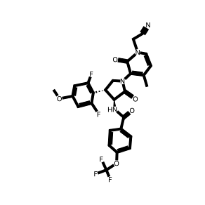 COc1cc(F)c([C@@H]2CN(c3c(C)ccn(CC#N)c3=O)C(=O)[C@H]2NC(=O)c2ccc(OC(F)(F)F)cc2)c(F)c1